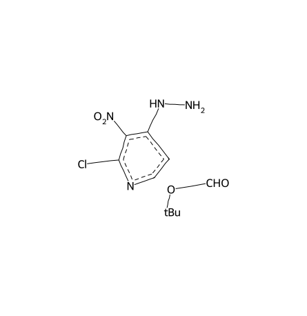 CC(C)(C)OC=O.NNc1ccnc(Cl)c1[N+](=O)[O-]